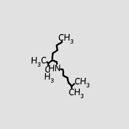 CCCCCC(CNCCCCC(C)C)C(C)C